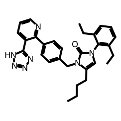 CCCCc1cn(-c2c(CC)cccc2CC)c(=O)n1Cc1ccc(-c2ncccc2-c2nnn[nH]2)cc1